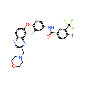 O=C(Nc1ccc(Oc2ccc3ncc(CN4CCOCC4)nc3c2)c(F)c1)c1ccc(Cl)c(C(F)(F)F)c1